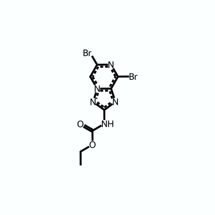 CCOC(=O)Nc1nc2c(Br)nc(Br)cn2n1